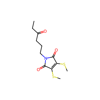 CCC(=O)CCCN1C(=O)C(SC)=C(SC)C1=O